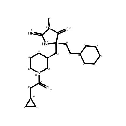 CN1C(=N)N[C@@](CCC2CCCCC2)(C[C@@H]2CCCN(C(=O)CC3CC3)C2)C1=O